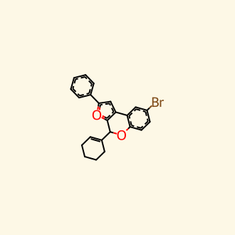 Brc1ccc2c(c1)-c1cc(-c3ccccc3)oc1C(C1=CCCCC1)O2